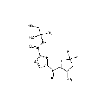 CC1CC(F)(F)CN1C(=O)c1csc(C(=O)NC(C)(C)CO)n1